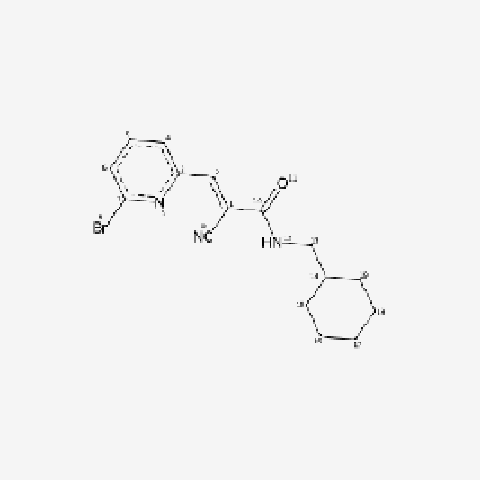 N#C/C(=C\c1cccc(Br)n1)C(=O)NCC1CCCCC1